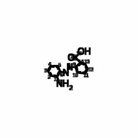 Nc1ccccc1N=Nc1ccccc1C(=O)O